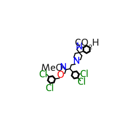 CON=C(COCc1cc(Cl)cc(Cl)c1)C(CCN1CCC2(CC1)CN(C(=O)O)c1ccccc12)c1ccc(Cl)c(Cl)c1